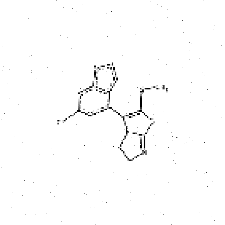 CSC1=C(c2cc(Cl)cc3sccc23)N2CCN=C2S1